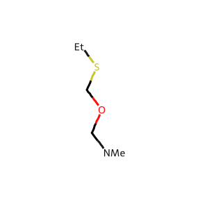 CCSCOCNC